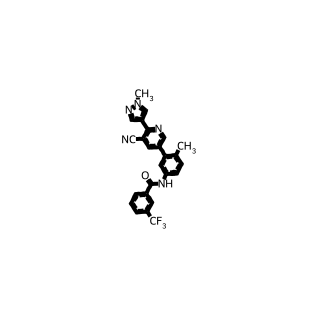 Cc1ccc(NC(=O)c2cccc(C(F)(F)F)c2)cc1-c1cnc(-c2cnn(C)c2)c(C#N)c1